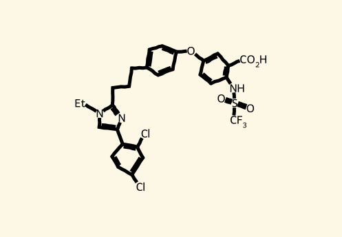 CCn1cc(-c2ccc(Cl)cc2Cl)nc1CCCc1ccc(Oc2ccc(NS(=O)(=O)C(F)(F)F)c(C(=O)O)c2)cc1